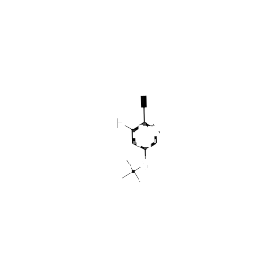 C#Cc1ncc(SC(C)(C)C)cc1F